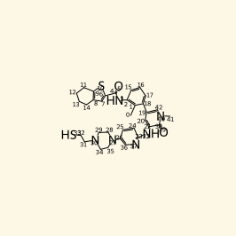 Cc1c(NC(=O)c2cc3c(s2)CCCC3)cccc1-c1cc(Nc2ccc(N3CCN(CCS)CC3)cn2)c(=O)n(C)c1